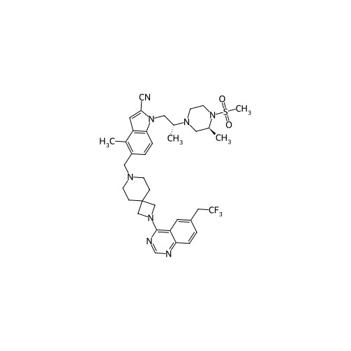 Cc1c(CN2CCC3(CC2)CN(c2ncnc4ccc(CC(F)(F)F)cc24)C3)ccc2c1cc(C#N)n2C[C@@H](C)N1CCN(S(C)(=O)=O)[C@@H](C)C1